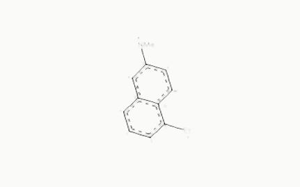 CCc1cccc2cc(NC)ccc12